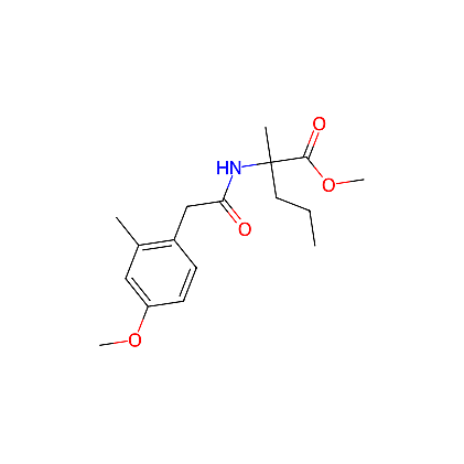 CCCC(C)(NC(=O)Cc1ccc(OC)cc1C)C(=O)OC